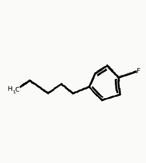 CCCCCc1ccc(F)cc1